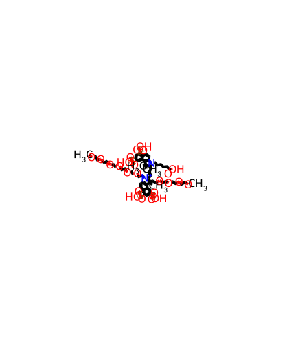 COCCOCCOCCOCCOCCOCC[N+]1=C(/C=C/C=C2/N(CCCCCC(=O)O)c3ccc4c(S(=O)(=O)O)cc(S(=O)(=O)O)cc4c3C2(C)C)C(C)(CCOCCOCCOCCOC)c2c1ccc1c(S(=O)(=O)O)cc(S(=O)(=O)O)cc21